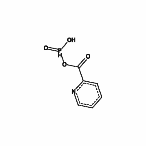 O=C(O[PH](=O)O)c1ccccn1